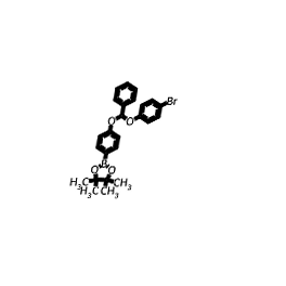 CC1(C)OB(c2ccc(OC(Oc3ccc(Br)cc3)c3ccccc3)cc2)OC1(C)C